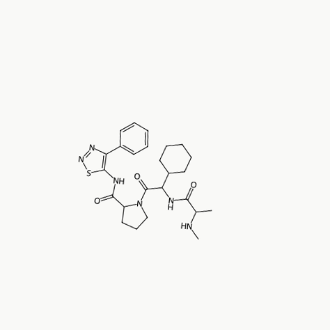 CNC(C)C(=O)NC(C(=O)N1CCCC1C(=O)Nc1snnc1-c1ccccc1)C1CCCCC1